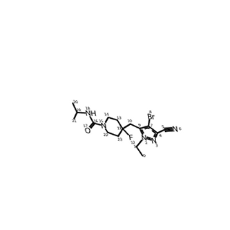 CCn1nc(C#N)c(Br)c1CC1(F)CCN(C(=O)NC(C)C)CC1